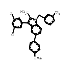 COc1ccc(-c2ccc3c(c2)c(-c2cc(Cl)cc(Cl)c2)c(C(=O)O)n3Cc2cccc(C(F)(F)F)c2)cc1